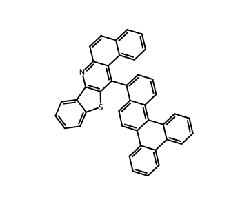 c1ccc2c(c1)ccc1nc3c(sc4ccccc43)c(-c3cccc4c3ccc3c5ccccc5c5ccccc5c43)c12